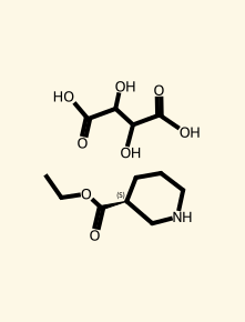 CCOC(=O)[C@H]1CCCNC1.O=C(O)C(O)C(O)C(=O)O